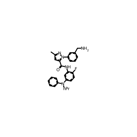 CCCN(c1ccccc1)c1ccc(F)c(NC(=O)c2cc(C)nn2-c2cccc(CN)c2)c1